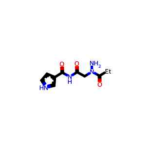 CCC(=O)N(N)CC(=O)NC(=O)c1cc[nH]c1